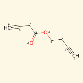 C#CCCOC(=O)CC#C